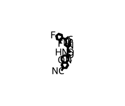 CN1C(=O)[C@@H](NC(=O)c2cn3c(-c4ccc(F)cc4F)csc3n2)COc2cc(C#N)ccc21